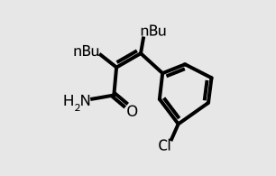 CCCCC(C(N)=O)=C(CCCC)c1cccc(Cl)c1